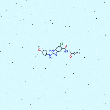 COC(=O)CNC(=O)c1cc2nc(Nc3ccc(OC(F)(F)F)cc3)[nH]c2cc1Cl